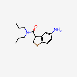 CCCN(CCC)C(=O)C1CSc2ccc(N)cc21